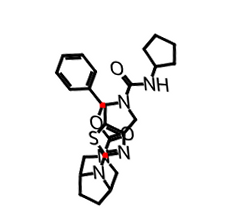 O=C(NC1CCCC1)N1Cc2nc(N3C4CCC3CN(C(=O)OCc3ccccc3)C4)sc2C1